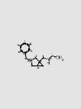 CCNCC12CC1CN(Cc1ccccc1)C2